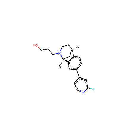 OCCCN1CC[C@@H]2C[C@H]1c1cc(-c3ccnc(F)c3)ccc12